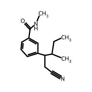 CCC(C)C(CC#N)c1cccc(C(=O)NC)c1